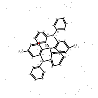 FC(F)(F)c1cc[c]([Ge]([Cl])([Cl])[c]2ccc(C(F)(F)F)cc2P(c2ccccc2)c2ccccc2)c(P(c2ccccc2)c2ccccc2)c1